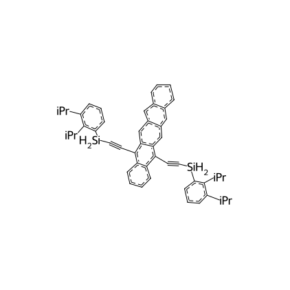 CC(C)c1cccc([SiH2]C#Cc2c3ccccc3c(C#C[SiH2]c3cccc(C(C)C)c3C(C)C)c3cc4cc5ccccc5cc4cc23)c1C(C)C